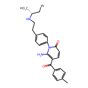 Cc1ccc(C(=O)c2ccc(=O)n(-c3ccc(CCN[C@@H](CC(C)C)C(=O)O)cc3)c2N)cc1